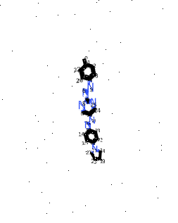 Cc1ccc(N=Nc2ncc(N=Nc3ccc(N4CCCC4)cc3)cn2)cc1